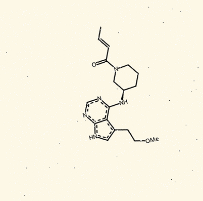 C/C=C/C(=O)N1CCC[C@@H](Nc2ncnc3[nH]cc(CCOC)c23)C1